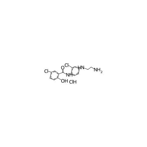 Cl.NCCNc1ccc(NC(=O)c2cc(Cl)ccc2O)c(Cl)c1